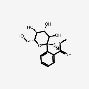 CSC(=N)c1cc[c]cc1[C@]1(SS)O[C@H](CO)[C@@H](O)[C@H](O)[C@H]1O